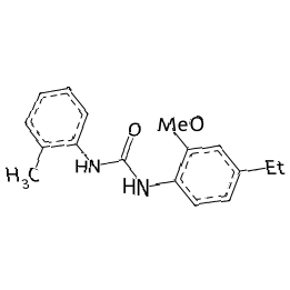 CCc1ccc(NC(=O)Nc2ccccc2C)c(OC)c1